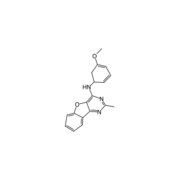 COC1=CC=CC(Nc2nc(C)nc3c2oc2ccccc23)C1